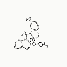 CO[N+]1(C)CCc2ccc(O)cc2C1C1(c2cccc3ccccc23)CC1